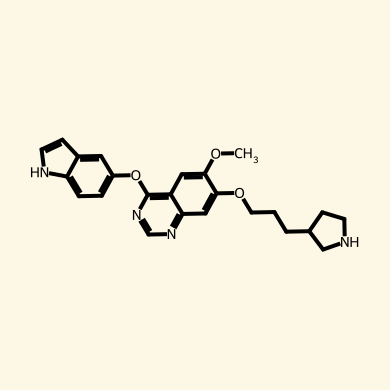 COc1cc2c(Oc3ccc4[nH]ccc4c3)ncnc2cc1OCCCC1CCNC1